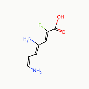 N\C=C/C=C(N)/C=C(\F)C(=O)O